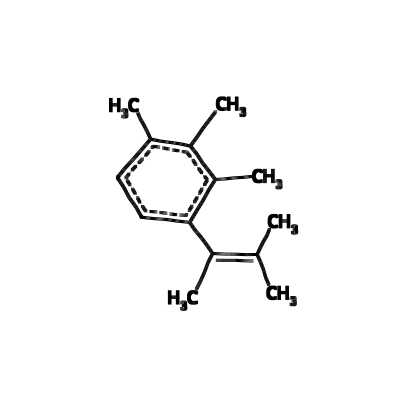 CC(C)=C(C)c1ccc(C)c(C)c1C